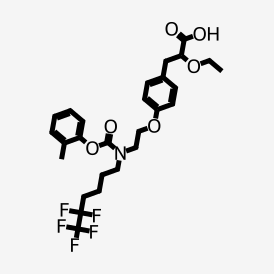 CCOC(Cc1ccc(OCCN(CCCCC(F)(F)C(F)(F)F)C(=O)Oc2ccccc2C)cc1)C(=O)O